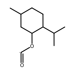 CC1CCC(C(C)C)C(O[C]=O)C1